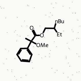 CCCCC(CC)COC(=O)C(C)(OC)c1ccccc1